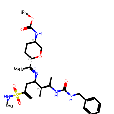 C=C(CC(/N=C(\SC)[C@@H]1CC[C@@H](NC(=O)OC(C)C)CO1)[C@H](C)C(C)NC(=O)NCc1ccccc1)S(=O)(=O)NC(C)(C)C